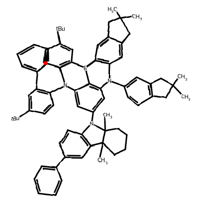 CC1(C)Cc2ccc(N3c4cc5c(cc4B4c6cc(C(C)(C)C)ccc6N(c6ccc(C(C)(C)C)cc6-c6ccccc6)c6cc(N7c8ccc(-c9ccccc9)cc8C8(C)CCCCC78C)cc3c64)CC(C)(C)C5)cc2C1